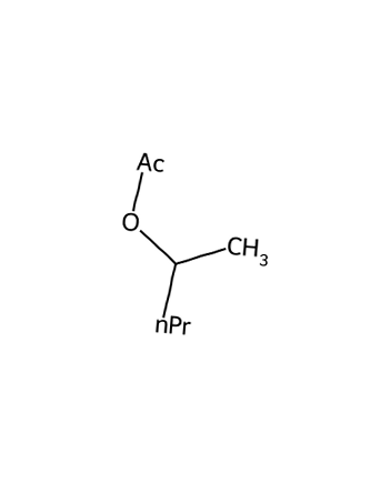 CCCC(C)OC(C)=O